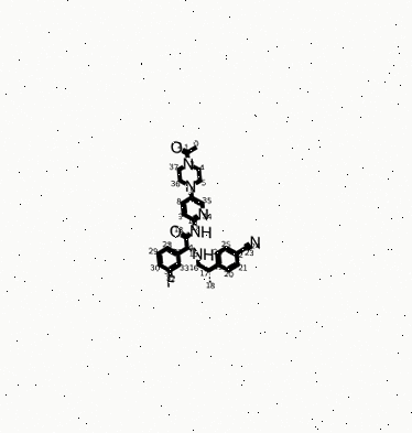 CC(=O)N1CCN(c2ccc(NC(=O)[C@H](NC[C@@H](C)c3ccc(C#N)cc3)c3cccc(F)c3)nc2)CC1